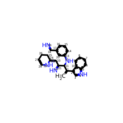 C=C(c1c[nH]c2ccccc12)C(Nc1cccc(C=N)c1)C(=N)/C=C1/CCC=CN1